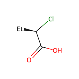 CC[C@@H](Cl)C(=O)O